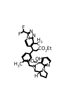 CCOC(=O)CC(c1ccc(C)c(CN2C[C@H]3CCCN3c3ncccc3S2(O)O)c1)c1ccn2c(C(F)F)nnc2c1C